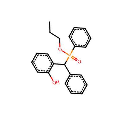 CCCOP(=O)(c1ccccc1)C(c1ccccc1)c1ccccc1O